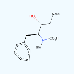 CNC[C@@H](O)[C@H](Cc1ccccc1)N(C(=O)O)C(C)(C)C